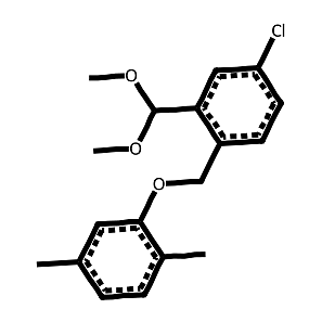 COC(OC)c1cc(Cl)ccc1COc1cc(C)ccc1C